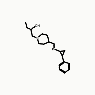 CCC(O)CN1CCC(CNC2CC2c2ccccc2)CC1